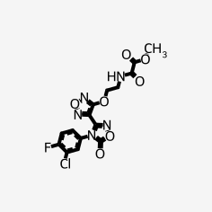 COC(=O)C(=O)NCCOc1nonc1-c1noc(=O)n1-c1ccc(F)c(Cl)c1